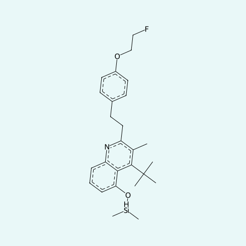 Cc1c(CCc2ccc(OCCF)cc2)nc2cccc(O[SiH](C)C)c2c1C(C)(C)C